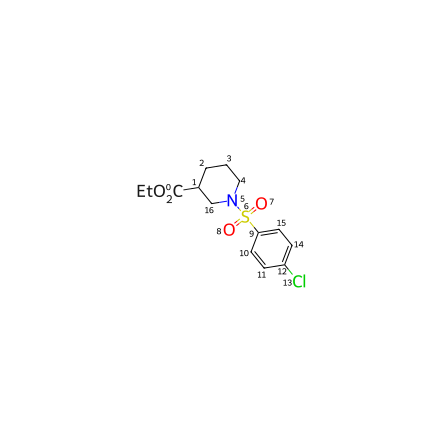 CCOC(=O)C1CCCN(S(=O)(=O)c2ccc(Cl)cc2)C1